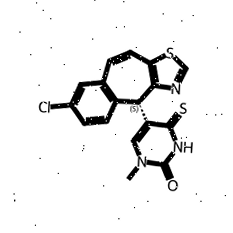 Cn1cc([C@@H]2c3ccc(Cl)cc3C=Cc3scnc32)c(=S)[nH]c1=O